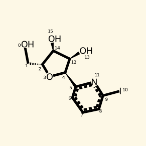 OC[C@H]1O[C@H](c2cccc(I)n2)[C@H](O)[C@@H]1O